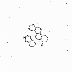 FC1CCCc2c1ccc1c2ccc2ccccc21.c1ccc2cnccc2c1